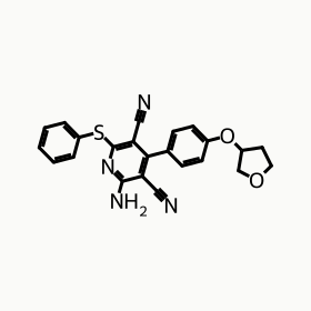 N#Cc1c(N)nc(Sc2ccccc2)c(C#N)c1-c1ccc(OC2CCOC2)cc1